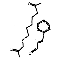 CC(=O)CCCCCCCC(C)=O.O=CC=Cc1ccccc1